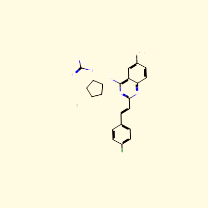 COc1ccc2nc(C=Cc3ccc(Cl)cc3)nc(N[C@@H]3CCC[C@@H]3NC(=N)N)c2c1.Cl.Cl